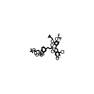 CC(C)(C)OC(=O)CN(c1ccc(CCC(=O)OC(Cc2c(Cl)c[n+]([O-])cc2Cl)c2ccc(OC(F)F)c(OCC3CC3)c2)cc1)[SH](=O)=O